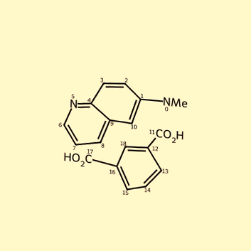 CNc1ccc2ncccc2c1.O=C(O)c1cccc(C(=O)O)c1